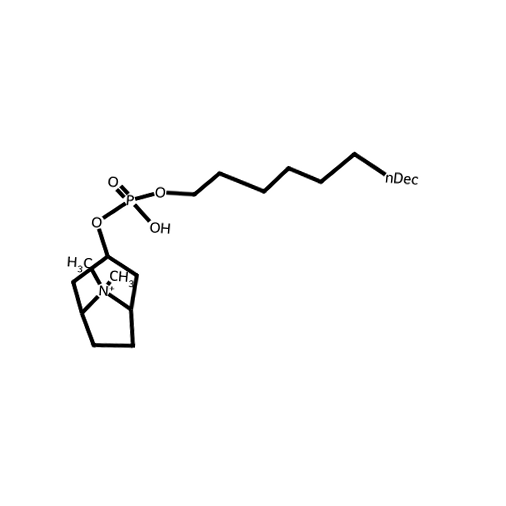 CCCCCCCCCCCCCCCCOP(=O)(O)OC1CC2CCC(C1)[N+]2(C)C